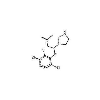 CC(C)CC(Oc1c(Cl)ccc(Cl)c1F)C1CCNC1